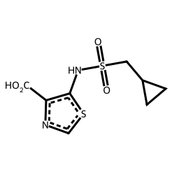 O=C(O)c1ncsc1NS(=O)(=O)CC1CC1